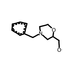 [O]CC1CN(Cc2ccccc2)CCO1